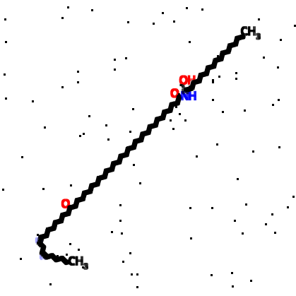 CCCCC/C=C\C/C=C\CCCCCCCC(=O)CCCCCCCCCCCCCCCCCCCCCCCCCCCCCC(=O)N[C@H](CO)CCCCCCCCCCCCCCCC